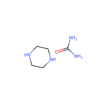 C1CNCCN1.NC(N)=O